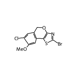 COc1cc2c(cc1Cl)COc1nc(Br)sc1-2